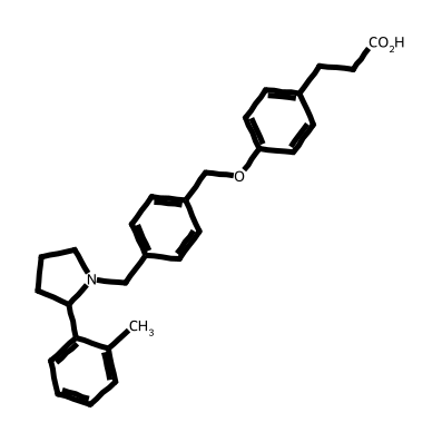 Cc1ccccc1C1CCCN1Cc1ccc(COc2ccc(CCC(=O)O)cc2)cc1